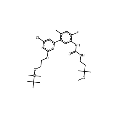 COC(C)(C)CCNC(=O)Nc1cc(-c2cc(Cl)nc(OCCO[Si](C)(C)C(C)(C)C)c2)c(C)cc1F